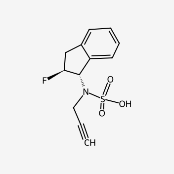 C#CCN([C@H]1c2ccccc2C[C@@H]1F)S(=O)(=O)O